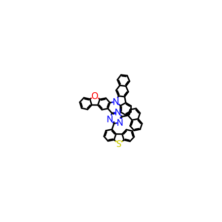 c1ccc2cc3c(cc2c1)c1ccccc1n3-c1cc2oc3ccccc3c2cc1-c1nc(-c2cccc3ccccc23)nc(-c2cccc3sc4ccccc4c23)n1